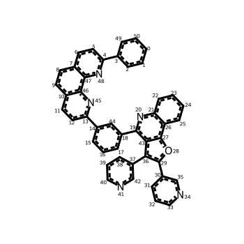 c1ccc(-c2ccc3ccc4ccc(-c5cccc(-c6nc7ccccc7c7oc(-c8cccnc8)c(-c8cccnc8)c67)c5)nc4c3n2)cc1